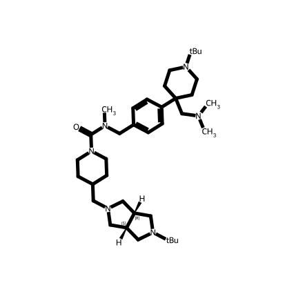 CN(C)CC1(c2ccc(CN(C)C(=O)N3CCC(CN4C[C@@H]5CN(C(C)(C)C)C[C@@H]5C4)CC3)cc2)CCN(C(C)(C)C)CC1